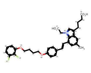 Cc1cc(/C=C/c2ccc(OCCCCOc3cccc(F)c3F)cc2)c2c(c1)c(CCCC(=O)O)cn2CC(=O)O